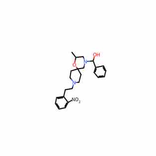 CC1CN(C(O)c2ccccc2)CC2(CCN(CCc3ccccc3[N+](=O)[O-])CC2)O1